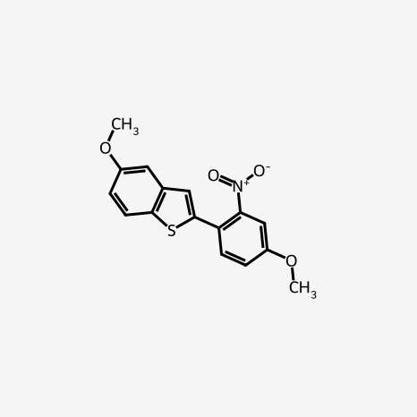 COc1ccc(-c2cc3cc(OC)ccc3s2)c([N+](=O)[O-])c1